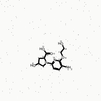 Nc1ccc(N2CC(O)CC2C(=O)O)nc1OCCO